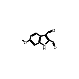 COc1ccc2c(C=O)c(C=O)[nH]c2c1